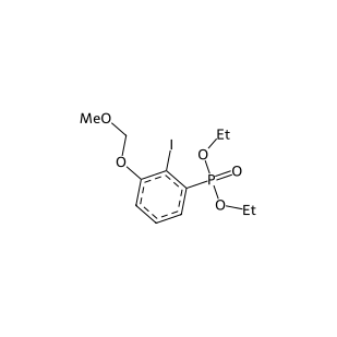 CCOP(=O)(OCC)c1cccc(OCOC)c1I